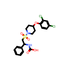 O=C(O)NC(CS(=O)(=O)N1CCC(Oc2ccc(Cl)cc2Cl)CC1)c1ccccc1